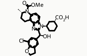 COC(=O)N1c2ccc3c(nc([C@@H](O)c4cc(Cl)c5c(c4)CCO5)n3[C@@H]3CCC[C@@H](C(=O)O)C3)c2CC[C@@H]1C